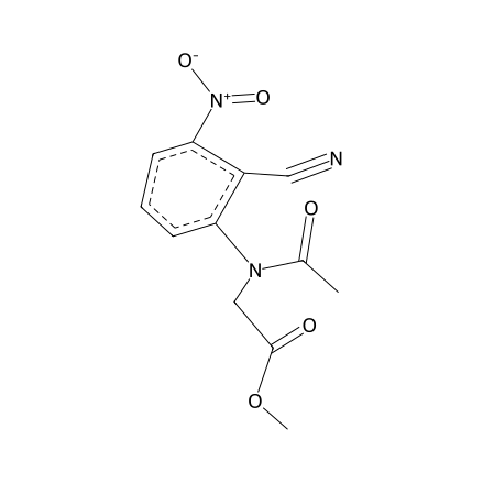 COC(=O)CN(C(C)=O)c1cccc([N+](=O)[O-])c1C#N